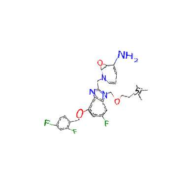 C[Si](C)(C)CCOCn1c(CN2C=CC=C(N)C3OC32)nc2c(OCc3ccc(F)cc3F)cc(F)cc21